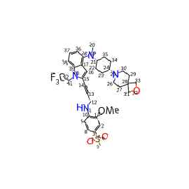 COc1cc(S(C)(=O)=O)ccc1NCC#Cc1cc2c(N(C)[C@H]3CC[C@@H](N4CCC5(CC4)COC5)CC3)cccc2n1CC(F)(F)F